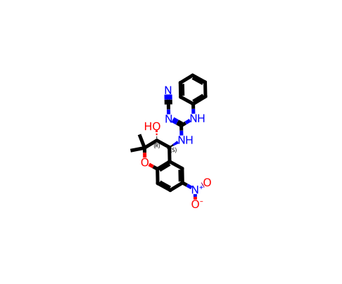 CC1(C)Oc2ccc([N+](=O)[O-])cc2[C@H](NC(=NC#N)Nc2ccccc2)[C@H]1O